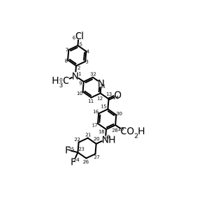 CN(c1ccc(Cl)cc1)c1ccc(C(=O)c2ccc(NC3CCC(F)(F)CC3)c(C(=O)O)c2)nc1